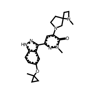 CN1CCC12CCN(c1cc(-c3n[nH]c4ccc(OC5(C)CC5)cc34)nn(C)c1=O)C2